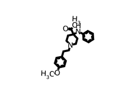 COc1ccc(CCN2CCC(Nc3ccccc3)(C(C)=O)CC2)cc1